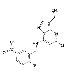 CCc1cnn2c(NCc3cc([N+](=O)[O-])ccc3F)cc(Cl)nc12